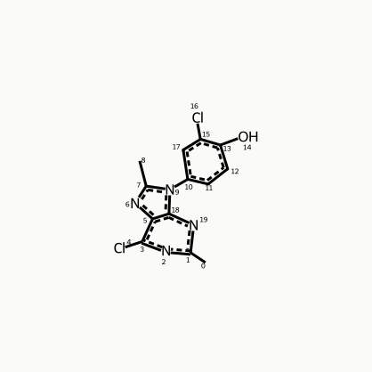 Cc1nc(Cl)c2nc(C)n(-c3ccc(O)c(Cl)c3)c2n1